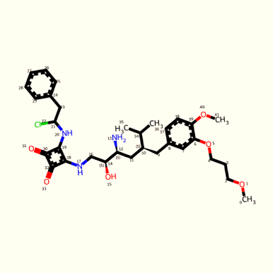 COCCCOc1cc(C[C@@H](C[C@H](N)[C@@H](O)CNc2c(NC(Cl)Cc3ccccc3)c(=O)c2=O)C(C)C)ccc1OC